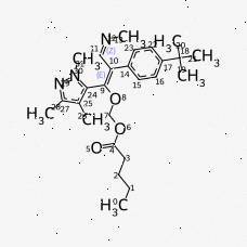 CCCCC(=O)OCO/C(=C(/C=N\C)c1ccc(C(C)(C)C)cc1)c1c(C)c(C)nn1C